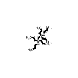 CCCO[Si](CCC)(CCC)C[Si](CCC)(CCC)OCCC